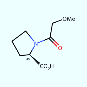 COCC(=O)N1CCC[C@@H]1C(=O)O